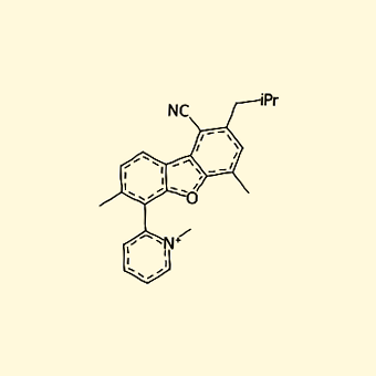 Cc1ccc2c(oc3c(C)cc(CC(C)C)c(C#N)c32)c1-c1cccc[n+]1C